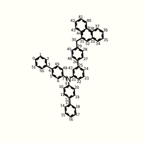 c1ccc(-c2ccc(N(c3ccc(-c4ccccc4)cc3)c3cccc(-c4ccc(Cc5cc6ccccc6c6ccccc56)cc4)c3)cc2)cc1